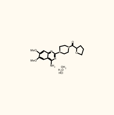 COc1cc2nc(N3CCN(C(=O)C4CCCO4)CC3)nc(N)c2cc1OC.Cl.O.O